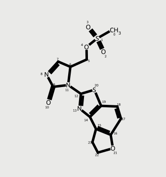 CS(=O)(=O)OCC1C=NC(=O)N1c1nc2c3c(ccc2s1)OCC3